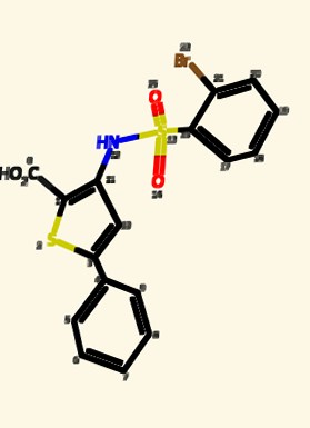 O=C(O)c1sc(-c2ccccc2)cc1NS(=O)(=O)c1ccccc1Br